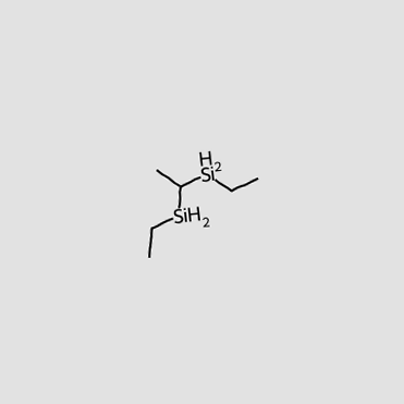 CC[SiH2]C(C)[SiH2]CC